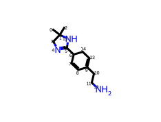 CC1(C)CN=C(C2C=CC(CCN)=CC2)N1